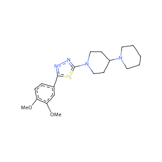 COc1ccc(-c2nnc(N3CCC(N4CCCCC4)CC3)s2)cc1OC